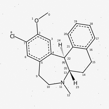 COc1cc2c(cc1Cl)CCN(C)[C@H]1CCc3ccccc3[C@H]21